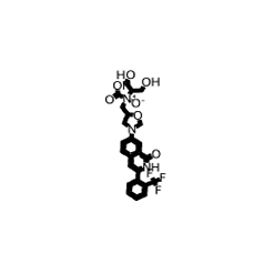 O=C(O)[N+]([O-])(CC1CN(c2ccc3cc(-c4ccccc4C(F)(F)F)[nH]c(=O)c3c2)CO1)C(CO)CO